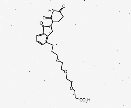 O=C(O)CCOCCOCCOCCCc1cccc2c1CN(C1CCC(=O)NC1=O)C2=O